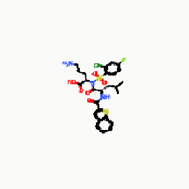 CC(C)C[C@H](NC(=O)c1cc2ccccc2s1)C(=O)N([C@H](CCCN)C(=O)O)S(=O)(=O)c1ccc(F)cc1Cl